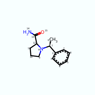 C[C@@H](c1ccccc1)N1CCCC1C(N)=O